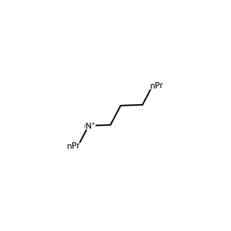 CCCCCC[N+]CCC